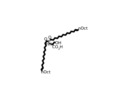 CCCCCCCCC=CCCCCCCCCCCCC(=O)P(NC(CO)C(=O)O)C(=O)CCCCCCCCCCCC=CCCCCCCCC